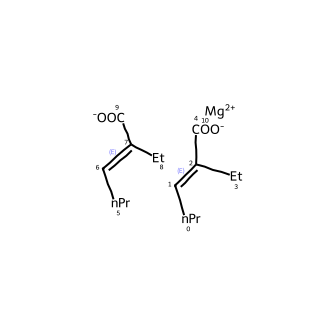 CCC/C=C(\CC)C(=O)[O-].CCC/C=C(\CC)C(=O)[O-].[Mg+2]